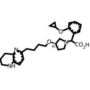 O=C(O)C(c1ccccc1OC1CC1)N1CC[C@@H](OCCCCc2ccc3c(n2)CCCN3)C1